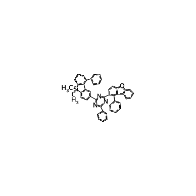 C[Si]1(C)c2ccc(-c3nc(-c4ccccc4)nc(-c4ccc5oc6ccccc6c5c4-c4ccccc4)n3)cc2-c2c(-c3ccccc3)cccc21